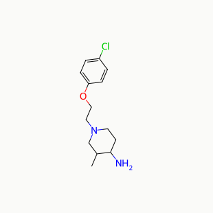 CC1CN(CCOc2ccc(Cl)cc2)CCC1N